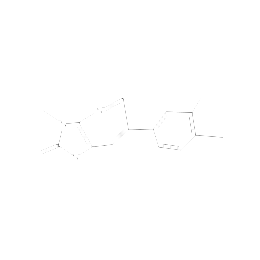 Cn1c(=O)[nH]c2cc(-c3ccc(F)c(F)c3)cnc21